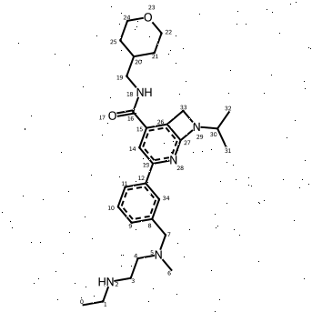 CCNCCN(C)Cc1cccc(-c2cc(C(=O)NCC3CCOCC3)c3c(n2)N(C(C)C)C3)c1